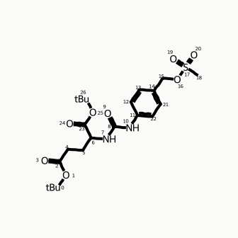 CC(C)(C)OC(=O)CCC(NC(=O)Nc1ccc(COS(C)(=O)=O)cc1)C(=O)OC(C)(C)C